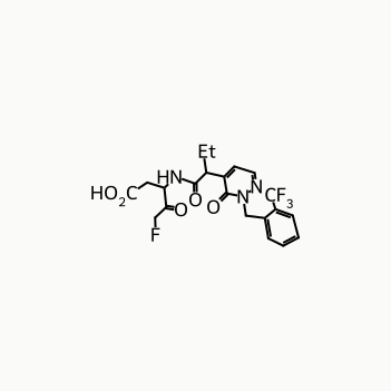 CCC(C(=O)NC(CC(=O)O)C(=O)CF)c1ccnn(Cc2ccccc2C(F)(F)F)c1=O